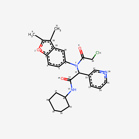 Cc1oc2ccc(N(C(=O)CCl)C(C(=O)NC3CCCCC3)c3cccnc3)cc2c1C